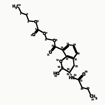 CCCCOC(=O)OCOC(=O)c1cccc2c1OB(O)[C@@H](NC(=O)CCC)C2